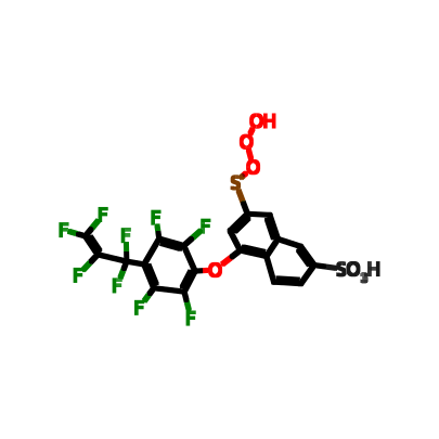 O=S(=O)(O)c1ccc2c(Oc3c(F)c(F)c(C(F)(F)C(F)=C(F)F)c(F)c3F)cc(SOOO)cc2c1